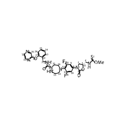 COC(=S)NC[C@H]1CN(c2cc(F)c(N3CCNN(C(=O)NCc4ccccc4Oc4cnccn4)CC3)c(F)c2)C(=O)O1